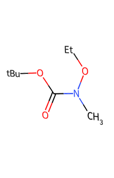 CCON(C)C(=O)OC(C)(C)C